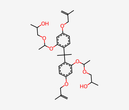 C=C(C)COc1ccc(C(C)(C)c2ccc(OCC(=C)C)cc2OC(C)OCC(C)O)c(OC(C)OCC(C)O)c1